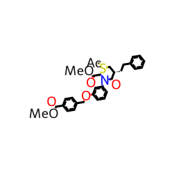 COC(=O)CN(C(=O)[C@@H](CCc1ccccc1)CSC(C)=O)c1cccc(OCc2ccc(C(=O)OC)cc2)c1